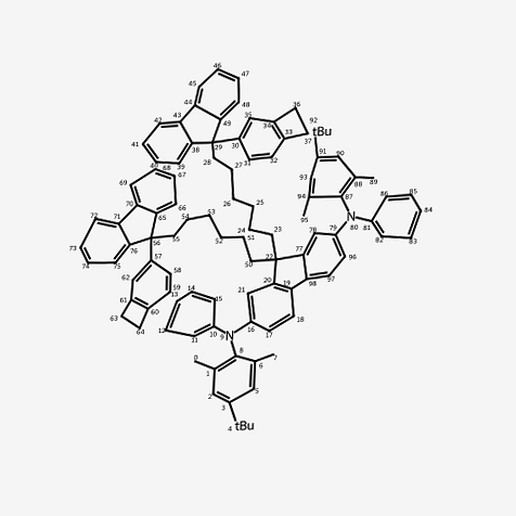 Cc1cc(C(C)(C)C)cc(C)c1N(c1ccccc1)c1ccc2c(c1)C(CCCCCCC1(c3ccc4c(c3)CC4)c3ccccc3-c3ccccc31)(CCCCCCC1(c3ccc4c(c3)CC4)c3ccccc3-c3ccccc31)c1cc(N(c3ccccc3)c3c(C)cc(C(C)(C)C)cc3C)ccc1-2